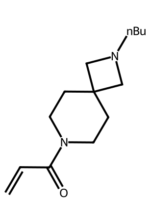 C=CC(=O)N1CCC2(CC1)CN(CCCC)C2